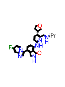 CC(C)NCc1nc(Nc2ccc(-c3cnc4cc(F)ccn34)c3c2C(=O)NC3)ccc1[C@@H]1CCOC1